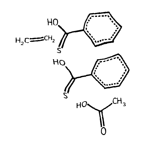 C=C.CC(=O)O.OC(=S)c1ccccc1.OC(=S)c1ccccc1